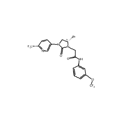 CC(C)[C@H]1CN(c2ccc(C(F)(F)F)nc2)C(=O)N1CC(=O)Nc1cccc(OC(F)(F)F)c1